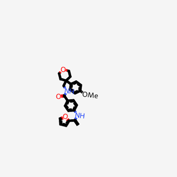 C=C(Nc1ccc(C(=O)NCC2(c3ccc(OC)cc3)CCOCC2)cc1)c1ccco1